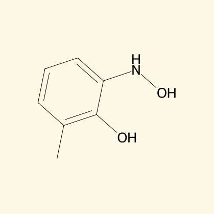 Cc1cccc(NO)c1O